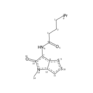 CC(C)CCCC(=O)Nc1c2sscc-2n(C)c1=O